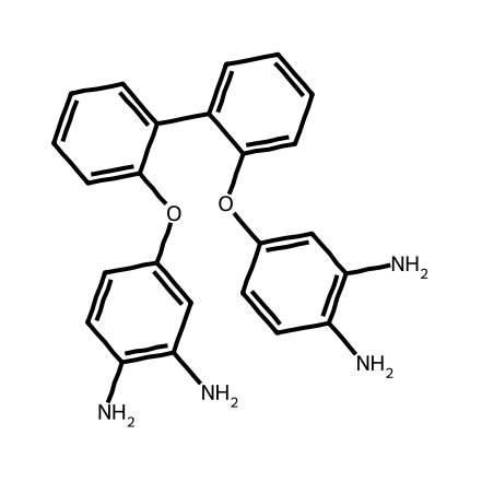 Nc1ccc(Oc2ccccc2-c2ccccc2Oc2ccc(N)c(N)c2)cc1N